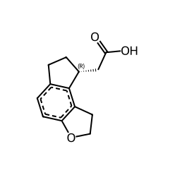 O=C(O)C[C@H]1CCc2ccc3c(c21)CCO3